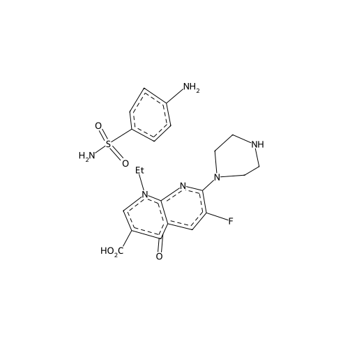 CCn1cc(C(=O)O)c(=O)c2cc(F)c(N3CCNCC3)nc21.Nc1ccc(S(N)(=O)=O)cc1